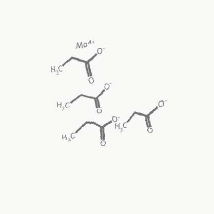 CCC(=O)[O-].CCC(=O)[O-].CCC(=O)[O-].CCC(=O)[O-].[Mo+4]